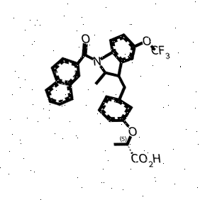 CC1C(Cc2cccc(O[C@@H](C)C(=O)O)c2)c2cc(OC(F)(F)F)ccc2N1C(=O)c1ccc2ccccc2c1